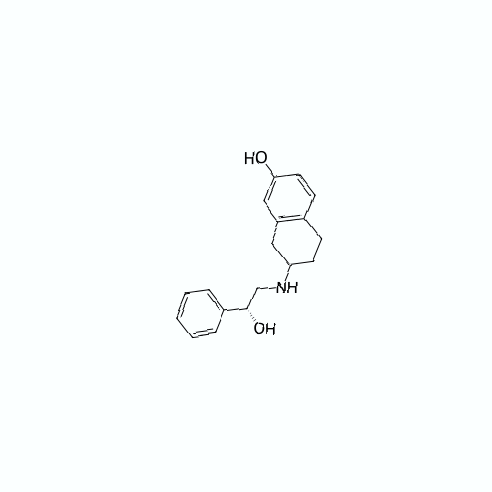 Oc1ccc2c(c1)CC(NC[C@H](O)c1ccccc1)CC2